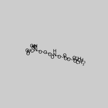 CC(C)(C)OC(=O)CCOCOC(=O)CCOCCNC(=O)COCCOCCOCCNc1ccc([N+](=O)[O-])cc1[N+](=O)[O-]